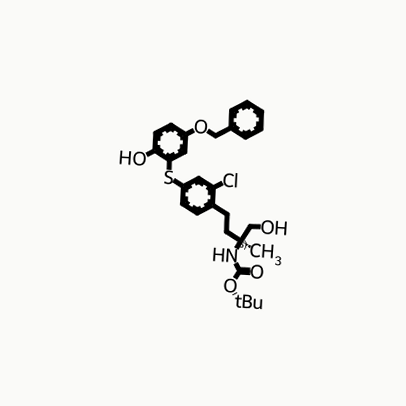 CC(C)(C)OC(=O)N[C@](C)(CO)CCc1ccc(Sc2cc(OCc3ccccc3)ccc2O)cc1Cl